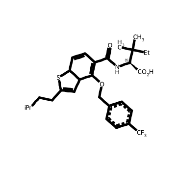 CCC(C)(C)[C@H](NC(=O)C1=C(OCc2ccc(C(F)(F)F)cc2)C2C=C(CCC(C)C)SC2C=C1)C(=O)O